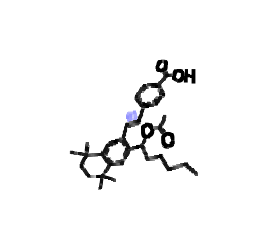 CCCCCC(OC(C)=O)c1cc2c(cc1/C=C/c1ccc(C(=O)O)cc1)C(C)(C)CCC2(C)C